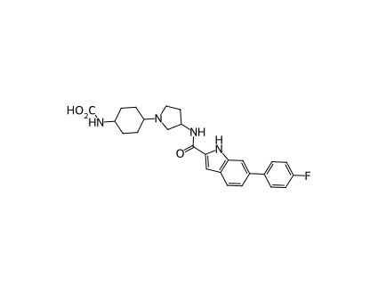 O=C(O)NC1CCC(N2CCC(NC(=O)c3cc4ccc(-c5ccc(F)cc5)cc4[nH]3)C2)CC1